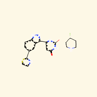 O=c1cc(-c2n[nH]c3ccc(-c4nccs4)cc23)nc(O[C@H]2CNCC[C@@H]2F)[nH]1